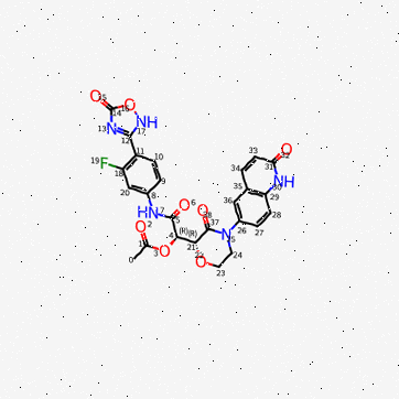 CC(=O)O[C@@H](C(=O)Nc1ccc(-c2nc(=O)o[nH]2)c(F)c1)[C@H]1OCCN(c2ccc3[nH]c(=O)ccc3c2)C1=O